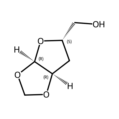 OC[C@@H]1C[C@H]2OCO[C@H]2O1